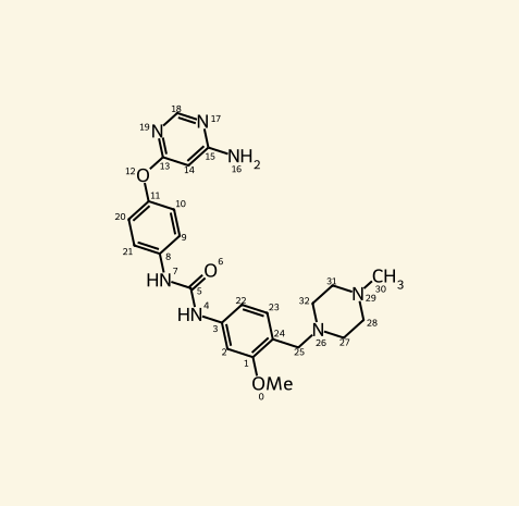 COc1cc(NC(=O)Nc2ccc(Oc3cc(N)ncn3)cc2)ccc1CN1CCN(C)CC1